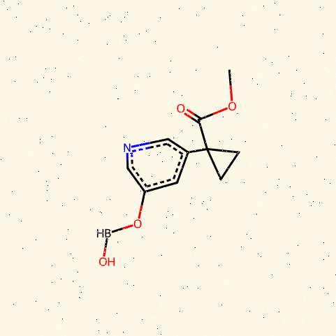 COC(=O)C1(c2cncc(OBO)c2)CC1